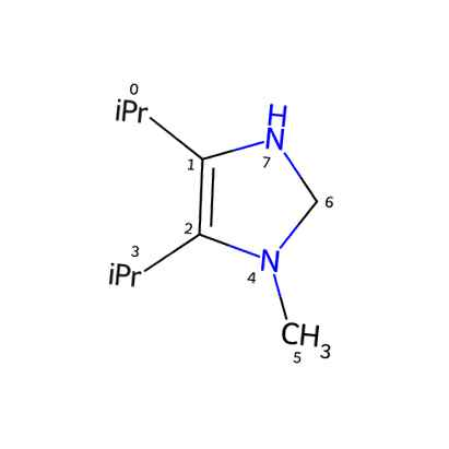 CC(C)C1=C(C(C)C)N(C)CN1